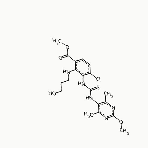 COC(=O)c1ccc(Cl)c(NC(=S)Nc2c(C)nc(OC)nc2C)c1NCCCO